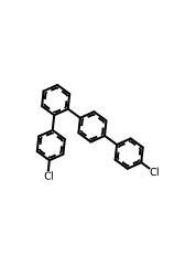 Clc1ccc(-c2ccc(-c3ccccc3-c3ccc(Cl)cc3)cc2)cc1